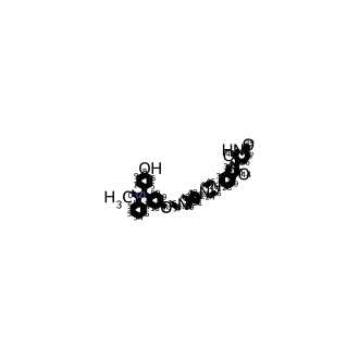 CC/C(=C(\c1ccc(O)cc1)c1ccc(OCCN2CC3(CC(N4CCN(c5ccc6c(c5)CN(C5CCC(=O)NC5=O)C6=O)CC4)C3)C2)cc1)c1ccccc1